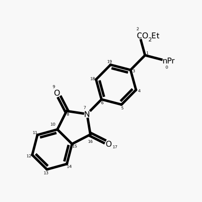 CCCC(C(=O)OCC)c1ccc(N2C(=O)c3ccccc3C2=O)cc1